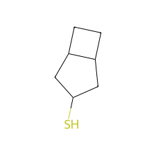 SC1CC2CCC2C1